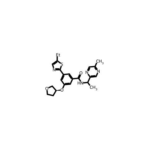 CCc1cnc(-c2cc(O[C@H]3CCOC3)cc(C(=O)NC(C)c3cnc(C)cn3)c2)s1